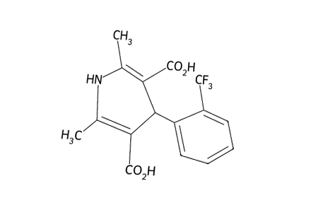 CC1=C(C(=O)O)C(c2ccccc2C(F)(F)F)C(C(=O)O)=C(C)N1